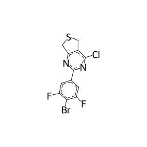 Fc1cc(-c2nc(Cl)c3c(n2)CSC3)cc(F)c1Br